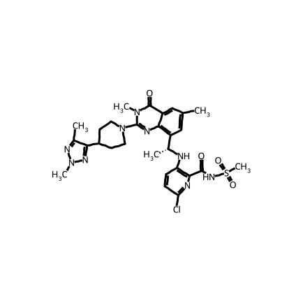 Cc1cc([C@@H](C)Nc2ccc(Cl)nc2C(=O)NS(C)(=O)=O)c2nc(N3CCC(c4nn(C)nc4C)CC3)n(C)c(=O)c2c1